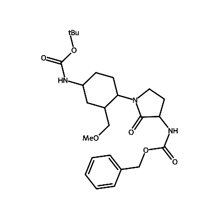 COCC1CC(NC(=O)OC(C)(C)C)CCC1N1CCC(NC(=O)OCc2ccccc2)C1=O